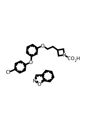 O=C(O)N1CC(CCOc2cccc(Oc3ccc(Cl)cc3)c2)C1.c1ccc2oncc2c1